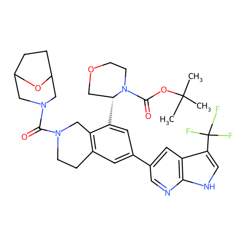 CC(C)(C)OC(=O)N1CCOC[C@H]1c1cc(-c2cnc3[nH]cc(C(F)(F)F)c3c2)cc2c1CN(C(=O)N1CC3CCC(C1)O3)CC2